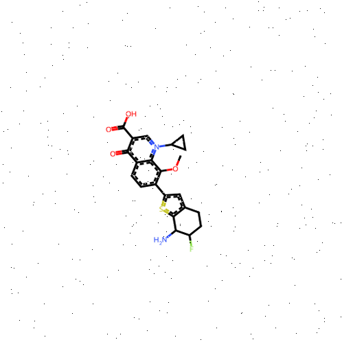 COc1c(-c2cc3c(s2)C(N)C(F)CC3)ccc2c(=O)c(C(=O)O)cn(C3CC3)c12